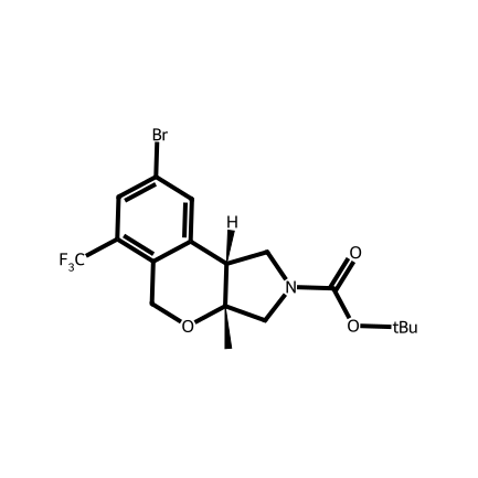 CC(C)(C)OC(=O)N1C[C@H]2c3cc(Br)cc(C(F)(F)F)c3CO[C@@]2(C)C1